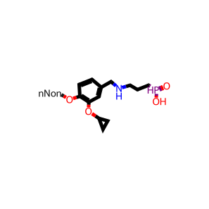 CCCCCCCCCOc1ccc(CNCCC[PH](=O)O)cc1OC1CC1